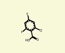 O=C(O)c1c(F)cc(F)cc1Cl